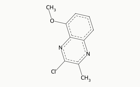 COc1cccc2nc(C)c(Cl)nc12